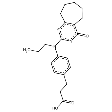 CCCN(c1ccc(CCC(=O)O)cc1)c1nc(=O)c2c(s1)CCCCC2